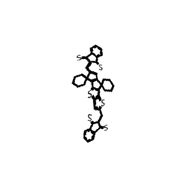 S=C1C(=CC2=CC3=C(c4sc5cc(C=C6C(=S)c7ccccc7C6=S)sc5c4C34CCCCC4)C23CCCCC3)C(=S)c2ccccc21